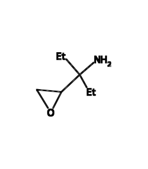 CCC(N)(CC)C1CO1